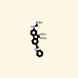 CCCCCCCCCCC1(CCCCCCCCCC)c2cc(NC(=S)NC)ccc2-c2ccc(-c3nc4ccccc4s3)cc21